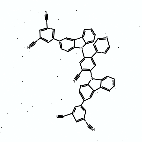 N#Cc1cc(C#N)cc(-c2ccc3c(c2)c2ccccc2n3-c2cc(-c3ccncc3)c(-n3c4ccccc4c4cc(-c5cc(C#N)cc(C#N)c5)ccc43)cc2C#N)c1